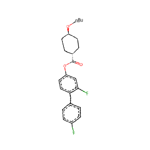 CCCCO[C@H]1CC[C@H](C(=O)Oc2ccc(-c3ccc(F)cc3)c(F)c2)CC1